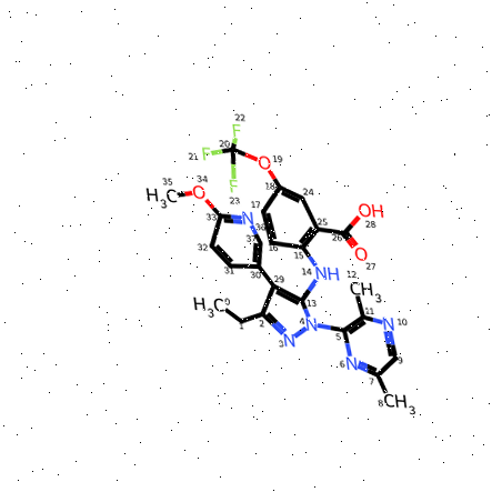 CCc1nn(-c2nc(C)cnc2C)c(Nc2ccc(OC(F)(F)F)cc2C(=O)O)c1-c1ccc(OC)nc1